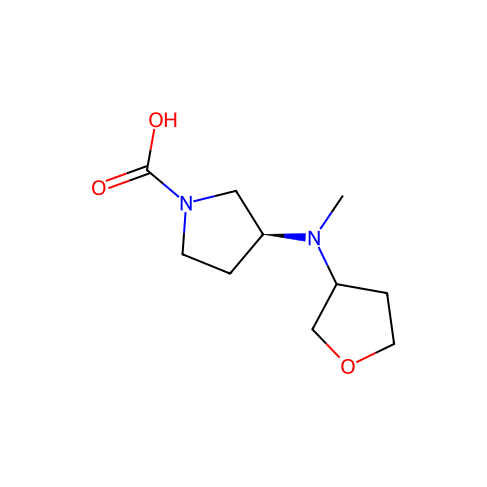 CN(C1CCOC1)[C@H]1CCN(C(=O)O)C1